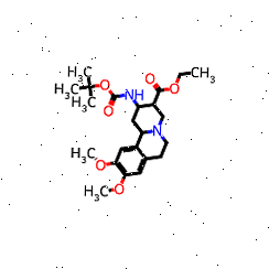 CCOC(=O)C1CN2CCc3cc(OC)c(OC)cc3C2CC1NC(=O)OC(C)(C)C